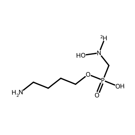 [2H]N(O)CP(=O)(O)OCCCCN